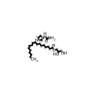 CCCCC/C=C\C/C=C\CCCCCCCC(=O)OCC(O)CO.NC(=O)NN1CCNC1